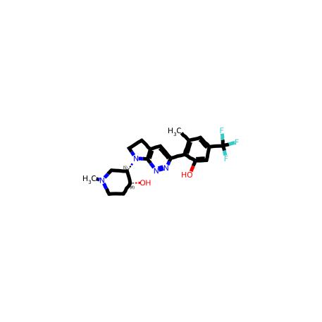 Cc1cc(C(F)(F)F)cc(O)c1-c1cc2c(nn1)N([C@H]1CN(C)CC[C@H]1O)CC2